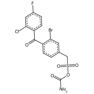 NC(=O)OS(=O)(=O)Cc1ccc(C(=O)c2ccc(F)cc2Cl)c(Br)c1